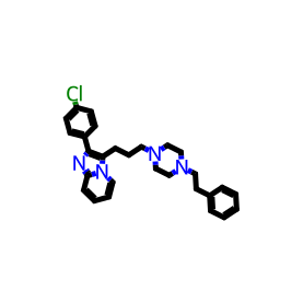 Clc1ccc(-c2nc3ccccn3c2CCCN2CCN(CCc3ccccc3)CC2)cc1